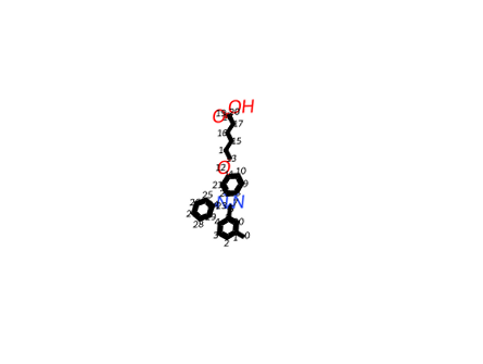 Cc1cccc(-c2nc3ccc(OCCCCCC(=O)O)cc3n2-c2ccccc2)c1